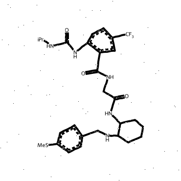 CSc1ccc(CNC2CCCCC2NC(=O)CNC(=O)c2cc(C(F)(F)F)ccc2NC(=O)NC(C)C)cc1